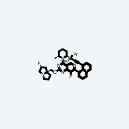 CC(C)[Si](C#Cc1cccc2cccc(-c3ncc4c(N5CCCC[C@@H]5C)nc(OC[C@@]56CCCN5C[C@H](F)C6)nc4c3F)c12)(C(C)C)C(C)C